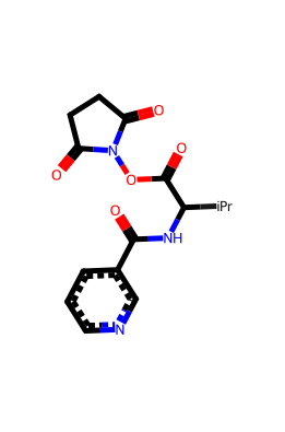 CC(C)C(NC(=O)c1cccnc1)C(=O)ON1C(=O)CCC1=O